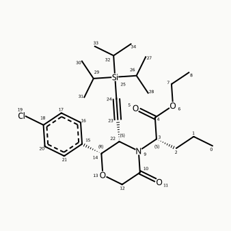 CCC[C@@H](C(=O)OCC)N1C(=O)CO[C@H](c2ccc(Cl)cc2)[C@@H]1C#C[Si](C(C)C)(C(C)C)C(C)C